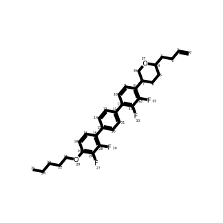 C=CCCC1CCC(c2ccc(-c3ccc(-c4ccc(OCCCCC)c(F)c4F)cc3)c(F)c2F)CO1